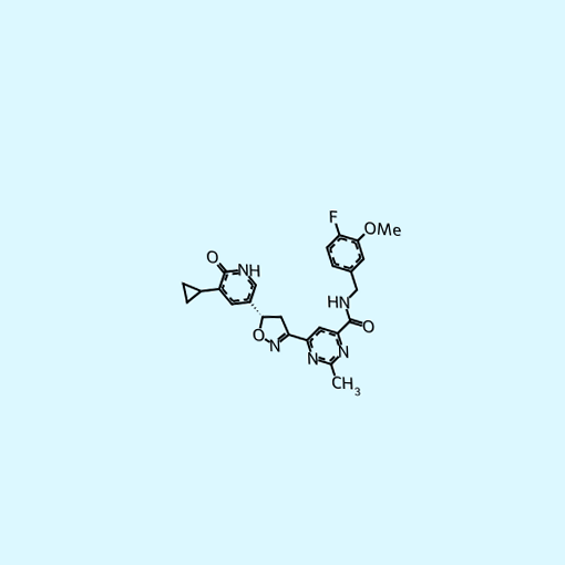 COc1cc(CNC(=O)c2cc(C3=NO[C@H](c4c[nH]c(=O)c(C5CC5)c4)C3)nc(C)n2)ccc1F